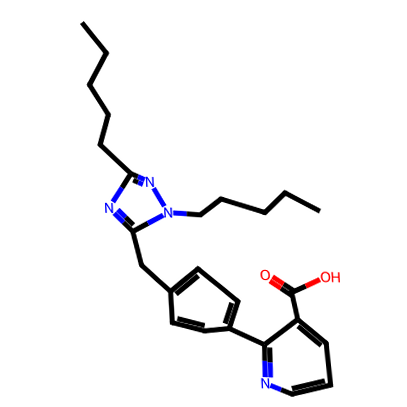 CCCCCc1nc(Cc2ccc(-c3ncccc3C(=O)O)cc2)n(CCCCC)n1